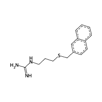 N=C(N)NCCCSCc1ccc2ccccc2c1